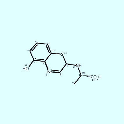 C[C@H](NC1C=Nc2c(O)cccc2S1)C(=O)O